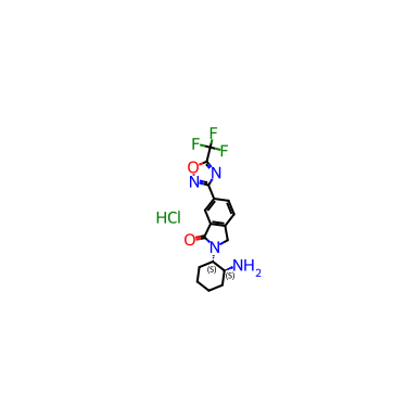 Cl.N[C@H]1CCCC[C@@H]1N1Cc2ccc(-c3noc(C(F)(F)F)n3)cc2C1=O